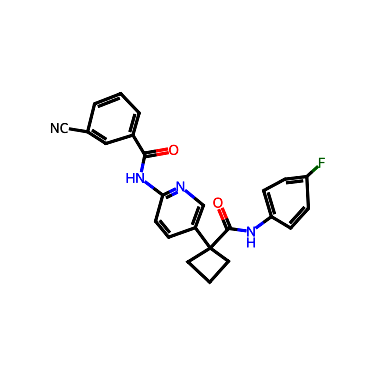 N#Cc1cccc(C(=O)Nc2ccc(C3(C(=O)Nc4ccc(F)cc4)CCC3)cn2)c1